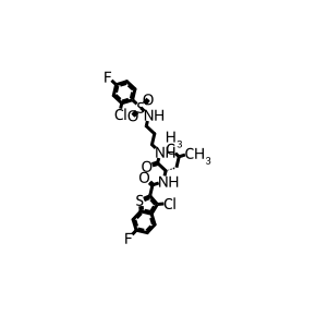 CC(C)C[C@H](NC(=O)c1sc2cc(F)ccc2c1Cl)C(=O)NCCCNS(=O)(=O)c1ccc(F)cc1Cl